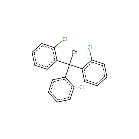 CCC(c1ccccc1Cl)(c1ccccc1Cl)c1ccccc1Cl